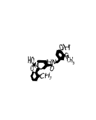 COc1cc(CNC(=O)C2CCN(C(=O)O)[C@H]([C@@H]3CCCCC3C)C2)ccc1O